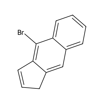 Brc1c2c(cc3ccccc13)CC=C2